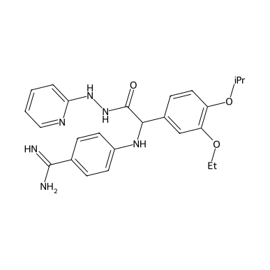 CCOc1cc(C(Nc2ccc(C(=N)N)cc2)C(=O)NNc2ccccn2)ccc1OC(C)C